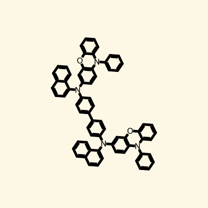 c1ccc(N2c3ccccc3Oc3cc(N(c4ccc(-c5ccc(N(c6ccc7c(c6)Oc6ccccc6N7c6ccccc6)c6cccc7ccccc67)cc5)cc4)c4cccc5ccccc45)ccc32)cc1